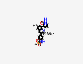 CCc1cc(-c2ccc[nH]c2=O)c2nc(OC)c(-c3ccc(NS(C)(=O)=O)cc3)cc2c1